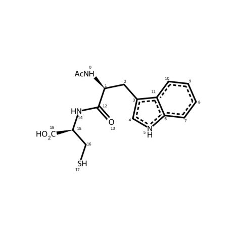 CC(=O)N[C@@H](Cc1c[nH]c2ccccc12)C(=O)N[C@@H](CS)C(=O)O